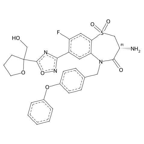 N[C@H]1CS(=O)(=O)c2cc(F)c(-c3noc(C4(CO)CCCO4)n3)cc2N(Cc2ccc(Oc3ccccc3)cc2)C1=O